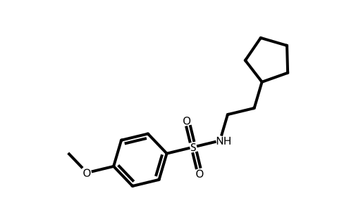 COc1ccc(S(=O)(=O)NCCC2CCCC2)cc1